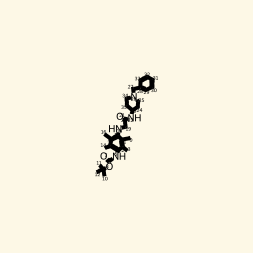 Cc1c(C)c(NC(=O)OC(C)(C)C)c(C)c(C)c1NCC(=O)NC1CCN(Cc2ccccc2)CC1